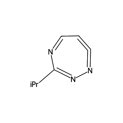 CC(C)C1=NN=C=CC=N1